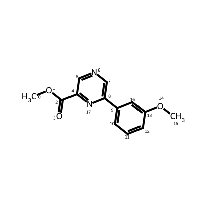 COC(=O)c1cncc(-c2cccc(OC)c2)n1